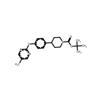 Cc1cnc(Oc2ccc(C3CCN(C(=O)OC(C)(C)C)CC3)cc2)nc1